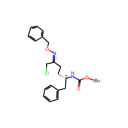 CC(C)(C)OC(=O)N[C@@H](CC/C(CCl)=N/OCc1ccccc1)Cc1ccccc1